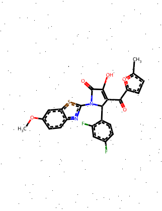 COc1ccc2nc(N3C(=O)C(O)=C(C(=O)c4ccc(C)o4)C3c3ccc(F)cc3F)sc2c1